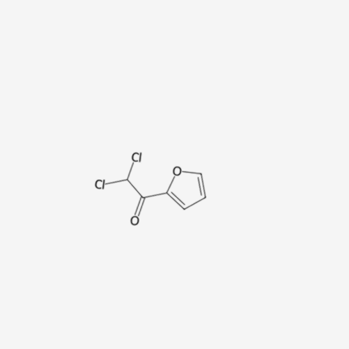 O=C(c1ccco1)C(Cl)Cl